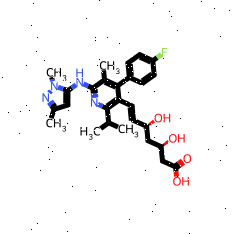 Cc1cc(Nc2nc(C(C)C)c(/C=C/[C@@H](O)C[C@@H](O)CC(=O)O)c(-c3ccc(F)cc3)c2C)n(C)n1